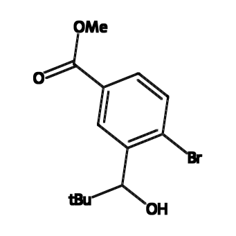 COC(=O)c1ccc(Br)c(C(O)C(C)(C)C)c1